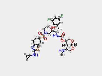 CCNC1CO[C@@H]2OC[C@H](OC(=O)N[C@@H](Cc3cc(F)cc(F)c3)[C@H](O)CN(CC(C)C)S(=O)(=O)c3ccc4nc(NC5CC5)sc4c3)[C@H]12